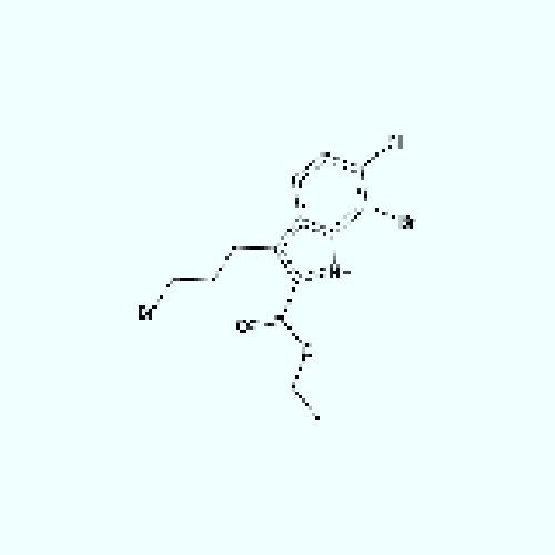 CCOC(=O)c1[nH]c2c(Br)c(Cl)ccc2c1CCCBr